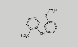 CCOC(=O)c1ccccc1O.O=C(O)Oc1ccccc1